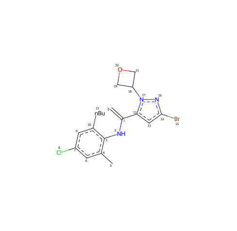 C=C(Nc1c(C)cc(Cl)cc1CCCC)c1cc(Br)nn1C1COC1